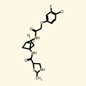 CC1NCC(C(=O)NC23CC(C2)[C@@H](NC(=O)COc2ccc(Cl)c(F)c2)C3)S1